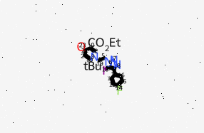 CCOC(=O)c1cn([C@@H](Cn2nnc(-c3ccc(F)cc3)c2I)C(C)(C)C)ccc1=O